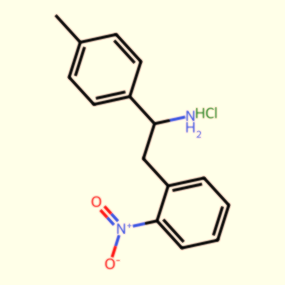 Cc1ccc(C(N)Cc2ccccc2[N+](=O)[O-])cc1.Cl